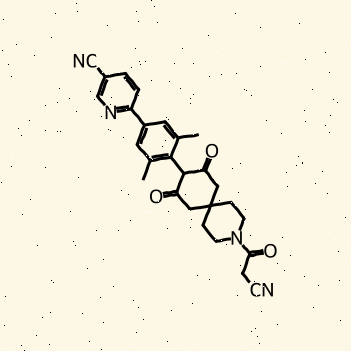 Cc1cc(-c2ccc(C#N)cn2)cc(C)c1C1C(=O)CC2(CCN(C(=O)CC#N)CC2)CC1=O